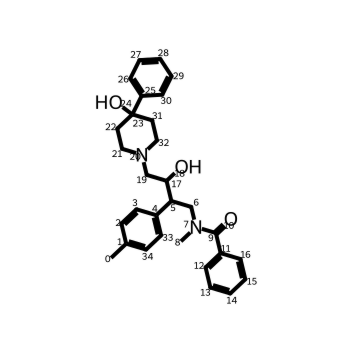 Cc1ccc(C(CN(C)C(=O)c2ccccc2)C(O)CN2CCC(O)(c3ccccc3)CC2)cc1